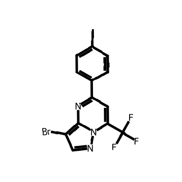 Cc1ccc(-c2cc(C(F)(F)F)n3ncc(Br)c3n2)cc1